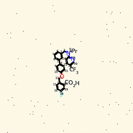 CC(C)N(Cc1cccc(-c2ccc(OCc3ccc(F)cc3C(=O)O)cc2)c1)c1ccc(C(F)(F)F)cn1